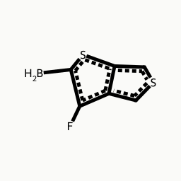 Bc1sc2cscc2c1F